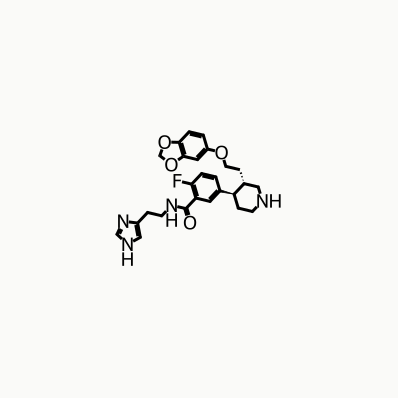 O=C(NCCc1c[nH]cn1)c1cc([C@@H]2CCNC[C@H]2CCOc2ccc3c(c2)OCO3)ccc1F